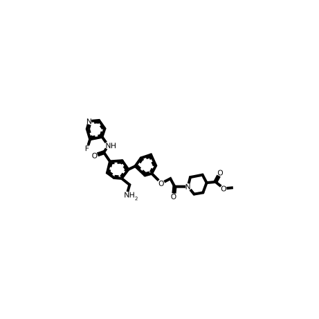 COC(=O)C1CCN(C(=O)COc2cccc(-c3cc(C(=O)Nc4ccncc4F)ccc3CN)c2)CC1